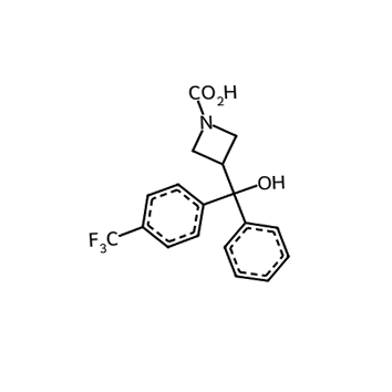 O=C(O)N1CC(C(O)(c2ccccc2)c2ccc(C(F)(F)F)cc2)C1